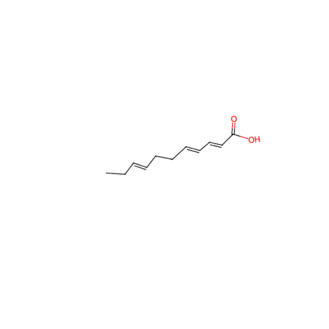 CC/C=C/CC/C=C/C=C/C(=O)O